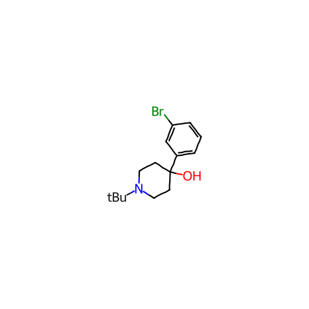 CC(C)(C)N1CCC(O)(c2cccc(Br)c2)CC1